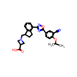 CC(C)Oc1ccc(-c2nc(-c3cccc4c3CCC4CN3CC(C(=O)O)C3)no2)cc1C#N